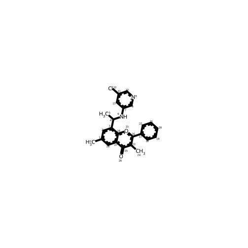 Cc1cc(C(C)Nc2cncc(Cl)c2)c2oc(-c3ccccc3)c(C)c(=O)c2c1